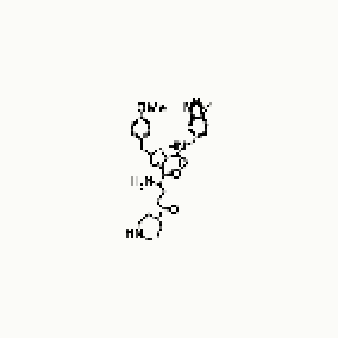 COc1ccc(CC2CC(C(=O)NCc3ccc4c(c3)nnn4C)N(C(=O)C(N)CCC(=O)C3CCCNCC3)C2)cc1